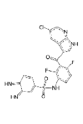 N=C1C=CC(S(=O)(=O)Nc2ccc(F)c(C(=O)c3c[nH]c4ncc(Cl)cc34)c2F)=CC1=N